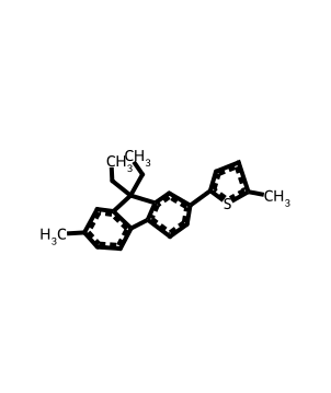 CCC1(CC)c2cc(C)ccc2-c2ccc(-c3ccc(C)s3)cc21